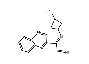 CCCC1CC(/N=C(/C=N)c2cnc3ccccc3n2)C1